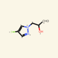 O=CC(O)Cn1cc(F)cn1